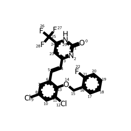 O=c1nc(C=Cc2cc(Cl)cc(Cl)c2OCc2ccccc2F)cc(C(F)(F)F)[nH]1